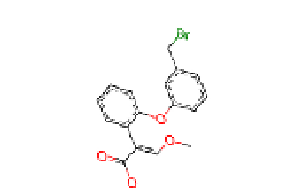 CO/C=C(/C(=O)OC)c1ccccc1Oc1cccc(CBr)c1